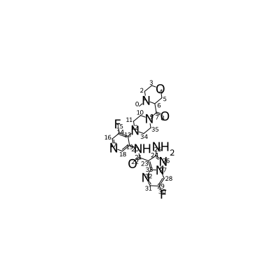 CN1CCOCC1C(=O)N1CCN(c2c(F)cncc2NC(=O)c2c(N)nn3cc(F)cnc23)CC1